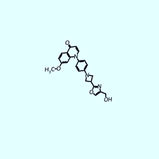 COc1ccc2c(=O)ccn(-c3ccc(N4CC(c5nc(CO)co5)C4)cc3)c2c1